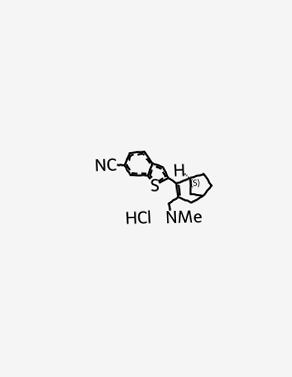 CNCC1=C(c2cc3ccc(C#N)cc3s2)[C@H]2CCC(C1)C2.Cl